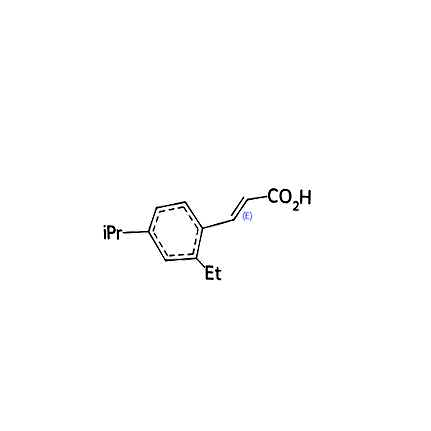 CCc1cc(C(C)C)ccc1/C=C/C(=O)O